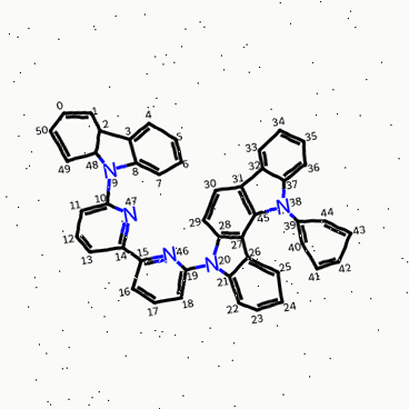 C1=CC2c3ccccc3N(c3cccc(-c4cccc(-n5c6ccccc6c6c5ccc5c7ccccc7n(-c7ccccc7)c56)n4)n3)C2C=C1